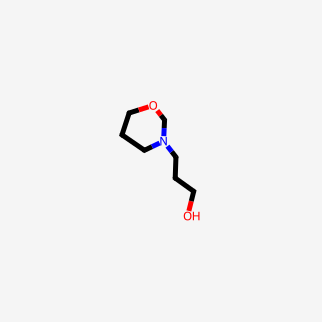 OCCCN1CCCOC1